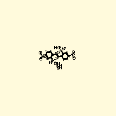 O=[N+]([O-])c1ccc(C=Cc2ccc([N+](=O)[O-])cc2S(=O)(=O)O)c(S(=O)(=O)O)c1.[KH].[KH]